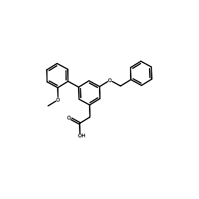 COc1ccccc1-c1cc(CC(=O)O)cc(OCc2ccccc2)c1